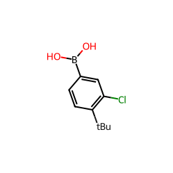 CC(C)(C)c1ccc(B(O)O)cc1Cl